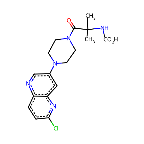 CC(C)(NC(=O)O)C(=O)N1CCN(c2cnc3ccc(Cl)nc3c2)CC1